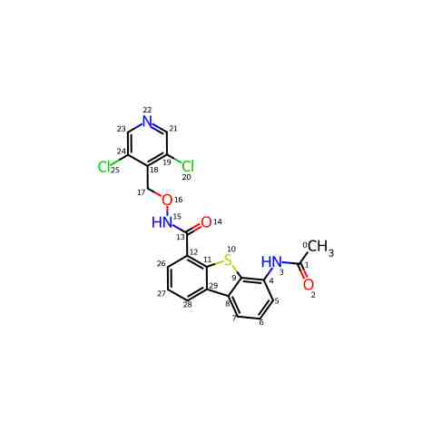 CC(=O)Nc1cccc2c1sc1c(C(=O)NOCc3c(Cl)cncc3Cl)cccc12